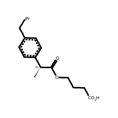 CC(C)Cc1ccc([C@@H](C)C(=O)OCCCC(=O)O)cc1